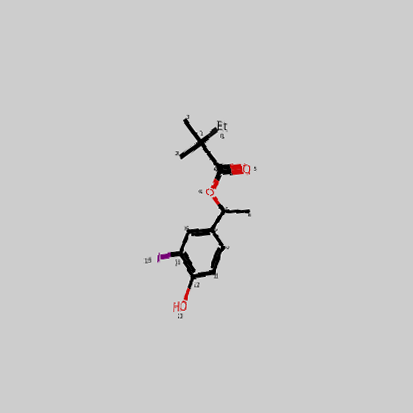 CCC(C)(C)C(=O)OC(C)c1ccc(O)c(I)c1